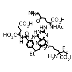 CC(=O)N[C@@H](CCC(=O)C=[N+]=[N-])C(=O)O.CCC(Cc1cnc2nc(=N)[nH]c(N)c2n1)c1ccc(C(=O)N[C@@H](CCC(=O)O)C(=O)O)cc1.NCCCC(N)(C(=O)O)C(F)F